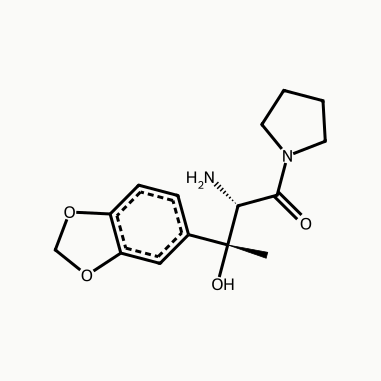 C[C@@](O)(c1ccc2c(c1)OCO2)[C@H](N)C(=O)N1CCCC1